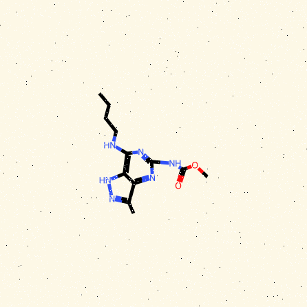 CCCCNc1nc(NC(=O)OC)nc2c(C)n[nH]c12